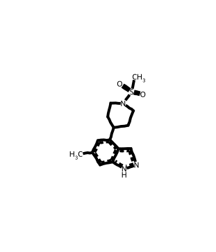 Cc1cc(C2CCN(S(C)(=O)=O)CC2)c2cn[nH]c2c1